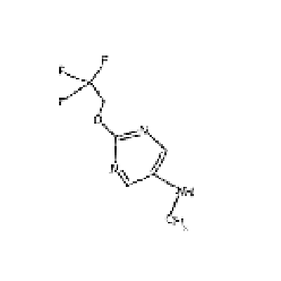 CNc1cnc(OCC(F)(F)F)nc1